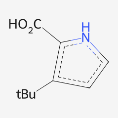 CC(C)(C)c1cc[nH]c1C(=O)O